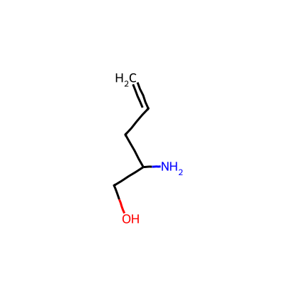 C=CCC(N)CO